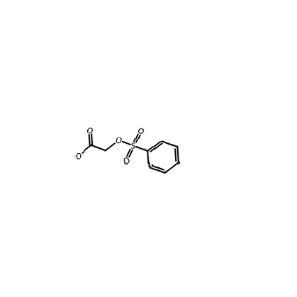 [O]C(=O)COS(=O)(=O)c1ccccc1